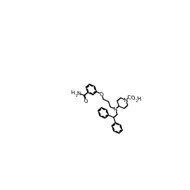 NC(=O)c1cccc(OCCCN(CC(c2ccccc2)c2ccccc2)C2CCN(C(=O)O)CC2)c1